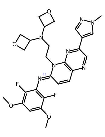 COc1cc(OC)c(F)c(/N=c2\ccc3ncc(-c4cnn(C)c4)nc3n2CCN(C2COC2)C2COC2)c1F